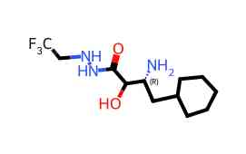 N[C@H](CC1CCCCC1)C(O)C(=O)NNCC(F)(F)F